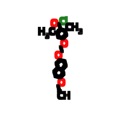 C#CCOc1ccc2cc(OCCOc3cc(C)c(C(=O)Cl)c(C)c3)ccc2c1